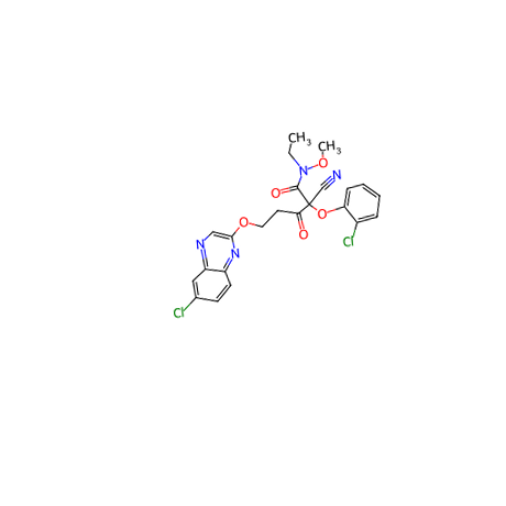 CCN(OC)C(=O)C(C#N)(Oc1ccccc1Cl)C(=O)CCOc1cnc2cc(Cl)ccc2n1